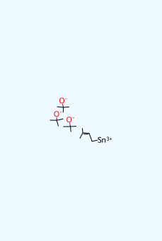 CC(C)(C)[O-].CC(C)(C)[O-].CC(C)(C)[O-].CC(C)=C[CH2][Sn+3]